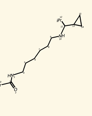 CC(C)C(=O)NCCCCCCNC(C(C)C)C1CC1